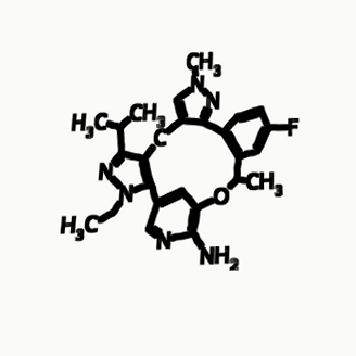 CCn1nc(C(C)C)c2c1-c1cnc(N)c(c1)OC(C)c1cc(F)ccc1-c1nn(C)cc1C2